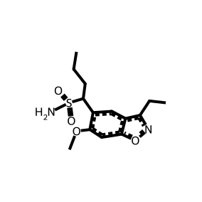 CCCC(c1cc2c(CC)noc2cc1OC)S(N)(=O)=O